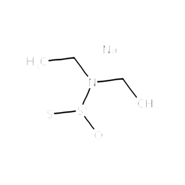 CCN(CC)[S+]([O-])[S-].[Na+]